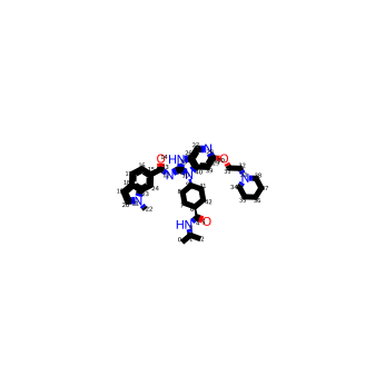 CC(C)NC(=O)[C@H]1CC[C@@H](n2/c(=N/C(=O)c3ccc4ccn(C)c4c3)[nH]c3cnc(OCCN4CCCCC4)cc32)CC1